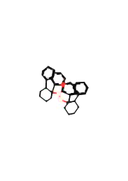 c1ccc(C2CCCCC2(OOC2(c3ccccc3)CCCCC2c2ccccc2)c2ccccc2)cc1